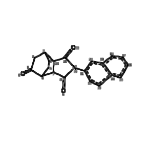 O=C1CC2CCC1C1C(=O)N(c3ccc4ccccc4c3)C(=O)C21